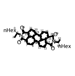 CCCCCC[C@@H](C)N1C(=O)c2ccc3c4ccc5c6c(ccc(c7ccc(c2c37)C1=O)c64)C(=O)N([C@H](C)CCCCCC)C5=O